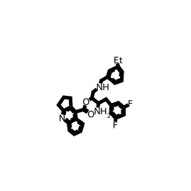 CCc1cccc(CNCC(OC(=O)c2c3c(nc4ccccc24)CCC3)C(N)Cc2cc(F)cc(F)c2)c1